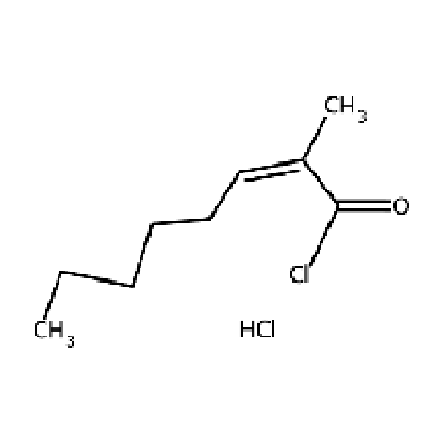 CCCCCC=C(C)C(=O)Cl.Cl